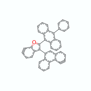 c1ccc2cc(-c3c(-c4c5ccccc5c(-c5ccccc5)c5ccccc45)oc4c#cccc34)c3ccccc3c2c#1